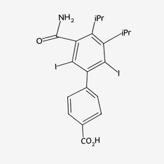 CC(C)c1c(I)c(-c2ccc(C(=O)O)cc2)c(I)c(C(N)=O)c1C(C)C